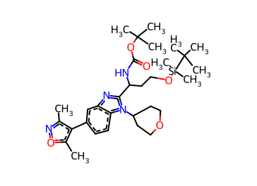 Cc1noc(C)c1-c1ccc2c(c1)nc(C(CCO[Si](C)(C)C(C)(C)C)NC(=O)OC(C)(C)C)n2C1CCOCC1